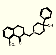 O=C1c2c(cccc2[N+](=O)[O-])CCC1CN1CCC(O)(c2ccccc2)CC1